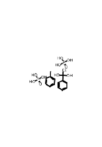 CCC(O)(O)c1ccccc1.Cc1ccccc1.O=P(O)(O)O.O=P(O)(O)O